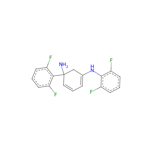 NC1(c2c(F)cccc2F)C=CC=C(Nc2c(F)cccc2F)C1